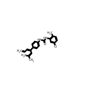 C=C/C=C(\C=C(\C)N)c1ccc(NC(=O)Nc2cc(Cl)ccc2C)cc1